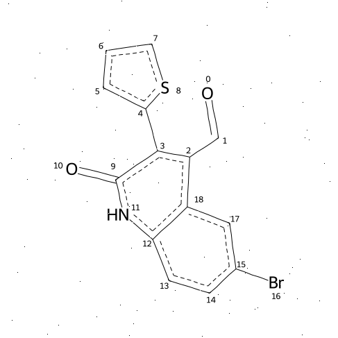 O=Cc1c(-c2cccs2)c(=O)[nH]c2ccc(Br)cc12